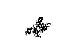 C[C@@H]1CN(Cc2ccc(F)cc2)[C@@H](C)CN1C(=O)COc1ccc(Cl)cc1CNC(=O)c1ccccc1I